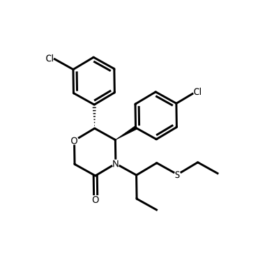 CCSCC(CC)N1C(=O)CO[C@H](c2cccc(Cl)c2)[C@H]1c1ccc(Cl)cc1